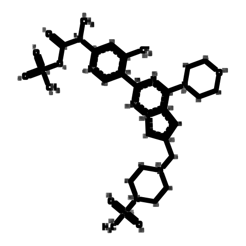 CN(C(=O)OS(C)(=O)=O)c1cc(C(F)(F)F)c(-c2nc(N3CCOCC3)c3cc(CN4CCN(S(C)(=O)=O)CC4)cn3n2)cn1